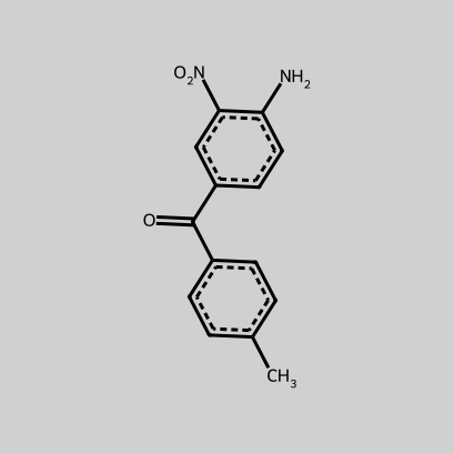 Cc1ccc(C(=O)c2ccc(N)c([N+](=O)[O-])c2)cc1